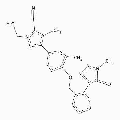 CCn1nc(-c2ccc(OCc3ccccc3-n3nnn(C)c3=O)c(C)c2)c(C)c1C#N